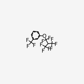 FC(F)(F)c1cccc(OC(F)(F)C(C(F)(F)F)C(F)(F)F)c1